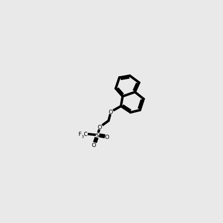 O=S(=O)(OCOc1cccc2ccccc12)C(F)(F)F